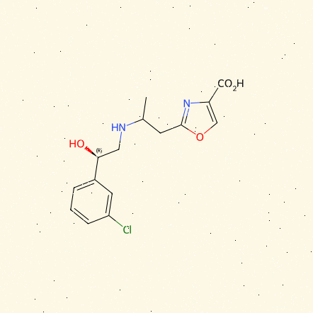 CC(Cc1nc(C(=O)O)co1)NC[C@H](O)c1cccc(Cl)c1